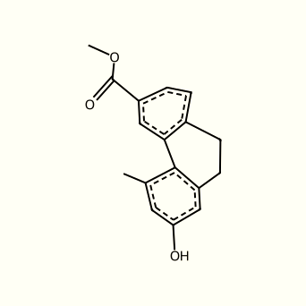 COC(=O)c1ccc2c(c1)-c1c(C)cc(O)cc1CC2